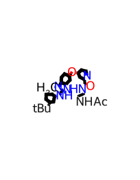 CC(=O)NCCNC(=O)c1cc(Oc2ccc3c(c2)nc(Nc2cccc(C(C)(C)C)c2)n3C)ccn1